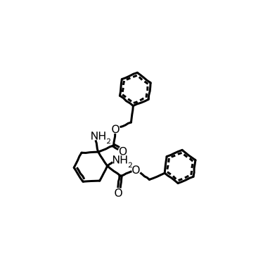 NC1(C(=O)OCc2ccccc2)CC=CCC1(N)C(=O)OCc1ccccc1